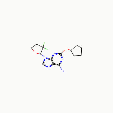 Nc1nc(OC2CCCC2)nc2c1ncn2C1OCCC1(Cl)Cl